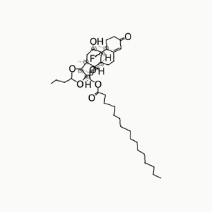 CCCCCCCCCCCCCCCC(=O)OCC(=O)[C@@]12OC(CCC)O[C@@H]1C[C@H]1[C@@H]3CCC4=CC(=O)CC[C@]4(C)[C@@]3(F)[C@@H](O)C[C@@]12C